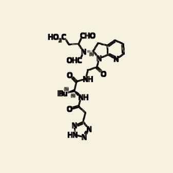 CC[C@H](C)[C@H](NC(=O)Cc1nn[nH]n1)C(=O)NCC(=O)N1c2ncccc2C[C@H]1N(C=O)C(C=O)CC(=O)O